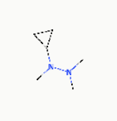 CN(C)N(C)C1CC1